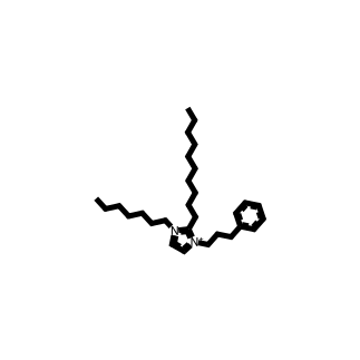 CCCCCCCCCCc1n(CCCCCCC)cc[n+]1CCCc1ccccc1